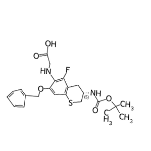 CC(C)(C)OC(=O)N[C@@H]1CSc2cc(OCc3ccccc3)c(NCC(=O)O)c(F)c2C1